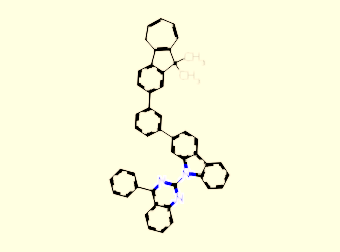 CC1(C)C2=C(CC=CC=C2)c2ccc(-c3cccc(-c4ccc5c6ccccc6n(-c6nc(-c7ccccc7)c7ccccc7n6)c5c4)c3)cc21